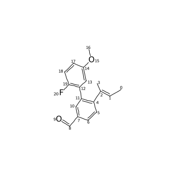 C/C=C(\C)c1ccc(C=O)cc1-c1cc(OC)ccc1F